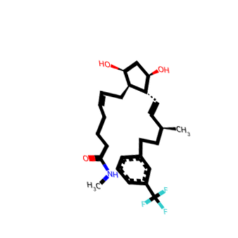 CNC(=O)CCC/C=C\C[C@@H]1[C@@H](/C=C/[C@@H](C)CCc2cccc(C(F)(F)F)c2)[C@H](O)C[C@@H]1O